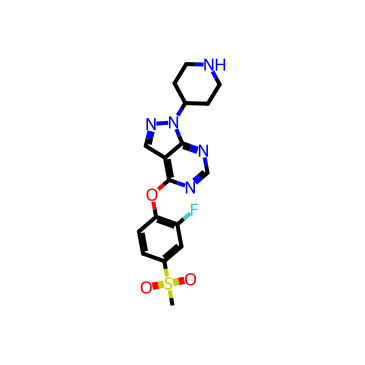 CS(=O)(=O)c1ccc(Oc2ncnc3c2cnn3C2CCNCC2)c(F)c1